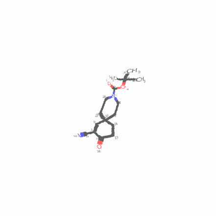 CC(C)(C)OC(=O)N1CCC2(C=C(C#N)C(=O)CC2)CC1